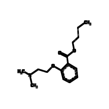 CCCCOC(=O)c1ccccc1OCCN(C)C